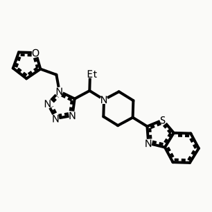 CCC(c1nnnn1Cc1ccco1)N1CCC(c2nc3ccccc3s2)CC1